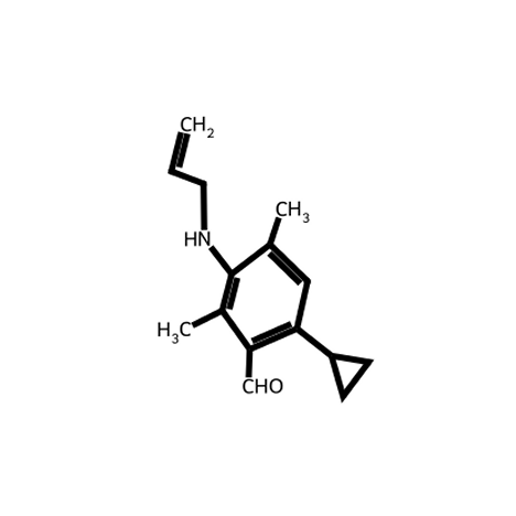 C=CCNc1c(C)cc(C2CC2)c(C=O)c1C